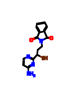 Nc1ccnc(C(S)CCN2C(=O)c3ccccc3C2=O)n1